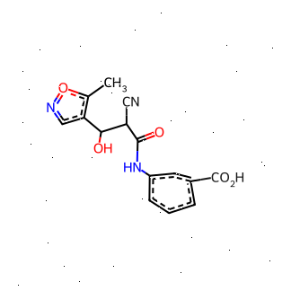 Cc1oncc1C(O)C(C#N)C(=O)Nc1cccc(C(=O)O)c1